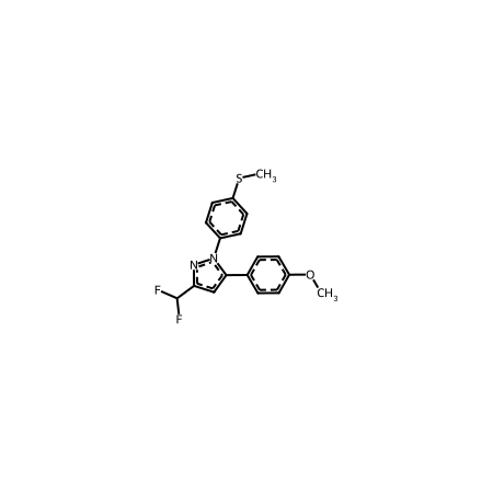 COc1ccc(-c2cc(C(F)F)nn2-c2ccc(SC)cc2)cc1